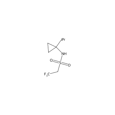 CC(C)C1(NS(=O)(=O)CC(F)(F)F)CC1